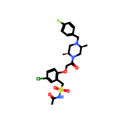 CC(=O)NS(=O)(=O)Cc1cc(Cl)ccc1OCC(=O)N1C[C@H](C)N(Cc2ccc(F)cc2)C[C@H]1C